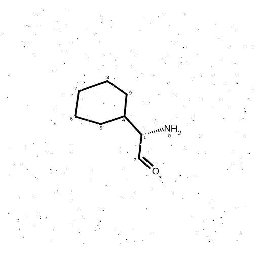 N[C@H](C=O)C1CCCCC1